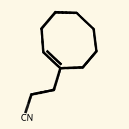 N#CCCC1=CCCCCCC1